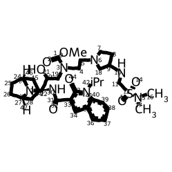 COC(=O)N(CCN1CCC(NCS(=O)(=O)N(C)C)C1)CC(O)CN1[C@@H]2CC[C@H]1C[C@H](NC(=O)c1cc3ccccc3n(C(C)C)c1=O)C2